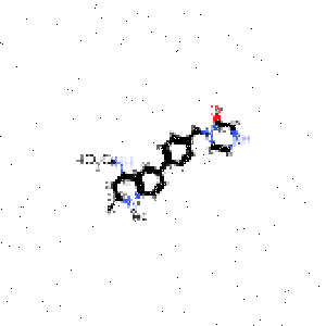 CC(=O)N1c2ccc(-c3ccc(CN4CCNCC4=O)cc3)cc2[C@H](NC(=O)O)C[C@@H]1C